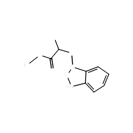 CCOC(=S)C(C)ON1ONc2ccccc21